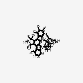 [2H]C1([2H])[C@@H]2O[C@](C(C)C)(n3c4cc(C)c(C)c(C)c4c4c5c(c6c7c(C)cccc7n2c6c43)C(=O)N(C)C5(C)C)[C@@]1(O)COC